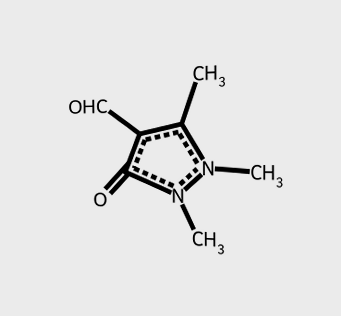 Cc1c(C=O)c(=O)n(C)n1C